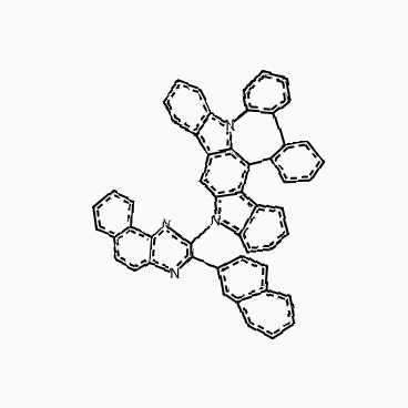 c1ccc2c(c1)-c1ccccc1-n1c3ccccc3c3cc4c(c-2c31)c1ccccc1n4-c1nc2c(ccc3ccccc32)nc1-c1ccc2ccccc2c1